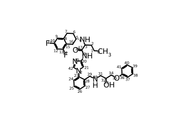 CCCC(N[C@H]1CCc2cc(F)cc(F)c2C1)C(=O)Nc1cn(-c2ccccc2CNCC(O)COc2ccccc2)cn1